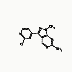 Cn1nc(-c2ccnc(Cl)c2)c2cnc(N)nc21